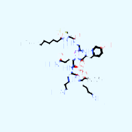 CCCCCCCCCCCCCCCC(=O)N[C@@H](CS)C(=O)NCC(=O)N[C@@H](Cc1ccc(O)cc1)C(=O)N[C@@H](CCC(N)=O)C(=O)N[C@@H](CCCCN)C(=O)N[C@@H](CCCCN)C(=O)NC